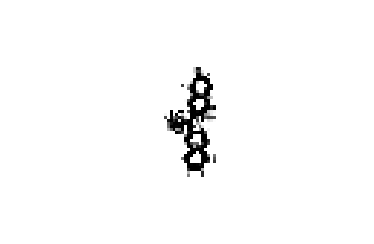 O=S(=O)(O)O.O=S(=O)(O)O.[Na].c1ccc2cc(Cc3ccc4ccccc4c3)ccc2c1